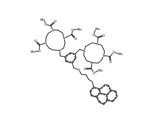 CC(C)(C)OC(=O)N1CCN(Cc2cc(COCCCCc3ccc4ccc5cccc6ccc3c4c56)cc(CN3CCN(C(=O)OC(C)(C)C)CCN(C(=O)OC(C)(C)C)CCN(C(=O)OC(C)(C)C)CC3)c2)CCN(C(=O)OC(C)(C)C)CCN(C(=O)OC(C)(C)C)CC1